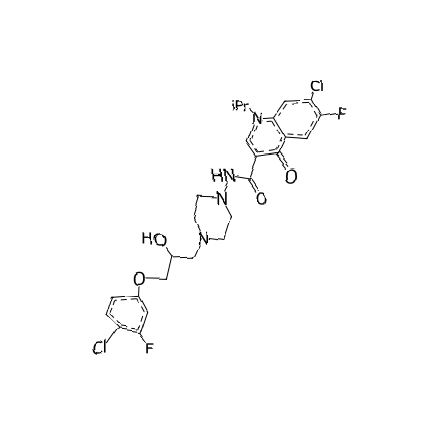 CC(C)n1cc(C(=O)NN2CCN(CC(O)COc3ccc(Cl)c(F)c3)CC2)c(=O)c2cc(F)c(Cl)cc21